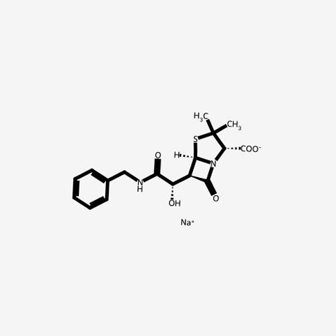 CC1(C)S[C@@H]2[C@H]([C@H](O)C(=O)NCc3ccccc3)C(=O)N2[C@H]1C(=O)[O-].[Na+]